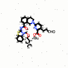 CC(C)(C)OC(=O)c1nc(N2CCc3cccc(C(=O)/N=c4/sc5ccccc5n4COCC[Si](C)(C)C)c3C2)ccc1CCC=O